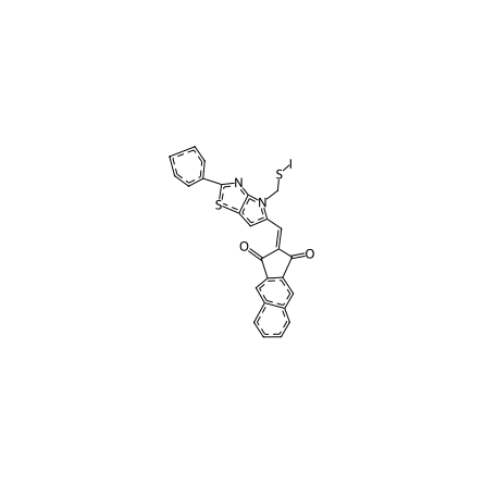 O=C1C(=Cc2cc3sc(-c4ccccc4)nc3n2CSI)C(=O)c2cc3ccccc3cc21